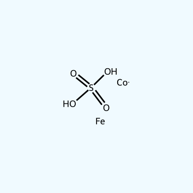 O=S(=O)(O)O.[Co].[Fe]